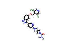 CC(Oc1ccc2[nH]nc(-c3ccc(N4CC5(CN(C(=O)N(C)C)C5)C4)nc3)c2c1)c1c(Cl)cncc1Cl